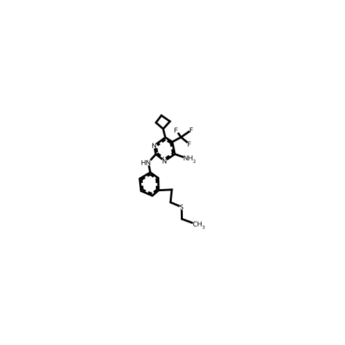 CCSCCc1cccc(Nc2nc(N)c(C(F)(F)F)c(C3CCC3)n2)c1